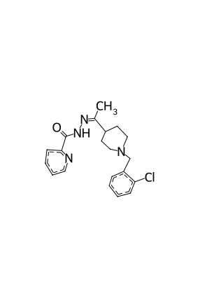 CC(=NNC(=O)c1ccccn1)C1CCN(Cc2ccccc2Cl)CC1